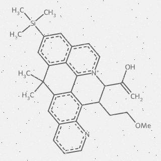 C=C(O)C1C(CCOC)c2c3c(cc4cccnc24)C(C)(C)c2cc([Si](C)(C)C)cc4cc[n+]1c-3c24